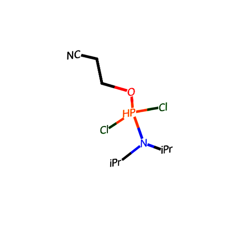 CC(C)N(C(C)C)[PH](Cl)(Cl)OCCC#N